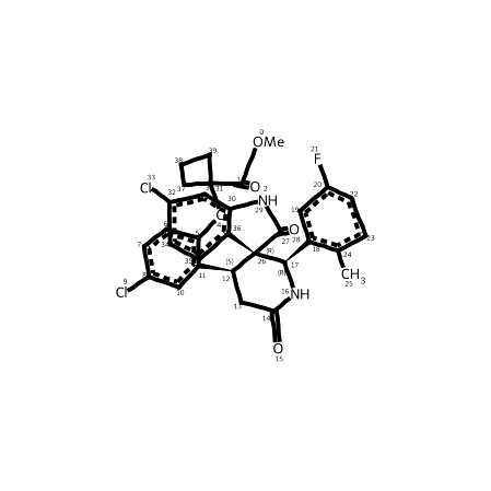 COC(=O)C1(Oc2ccc(Cl)cc2[C@@H]2CC(=O)N[C@H](c3cc(F)ccc3C)[C@@]23C(=O)Nc2cc(Cl)ccc23)CCC1